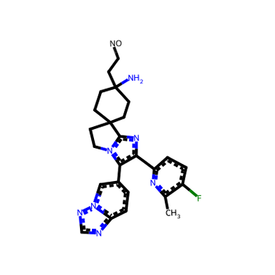 Cc1nc(-c2nc3n(c2-c2ccc4ncnn4c2)CCC32CCC(N)(CCN=O)CC2)ccc1F